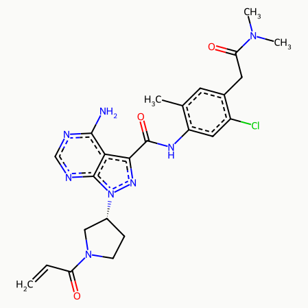 C=CC(=O)N1CC[C@@H](n2nc(C(=O)Nc3cc(Cl)c(CC(=O)N(C)C)cc3C)c3c(N)ncnc32)C1